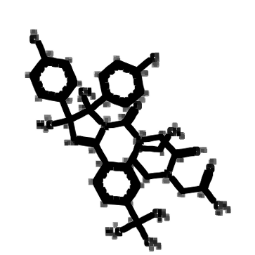 CCOc1cc(C(C)(C)C)ccc1C1=NC(C)(c2ccc(Cl)cc2)C(C)(c2ccc(Cl)cc2)N1C(=O)N1CCN(CC(C)=O)C(=O)C1